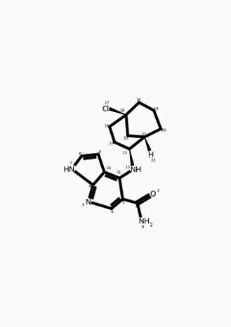 NC(=O)c1cnc2[nH]ccc2c1N[C@H]1CC[C@]2(Cl)CCC[C@H]1C2